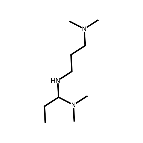 CCC(NCCCN(C)C)N(C)C